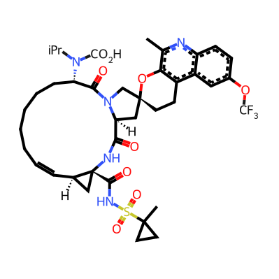 Cc1nc2ccc(OC(F)(F)F)cc2c2c1O[C@]1(CC2)C[C@H]2C(=O)N[C@]3(C(=O)NS(=O)(=O)C4(C)CC4)C[C@H]3/C=C\CCCCC[C@H](N(C(=O)O)C(C)C)C(=O)N2C1